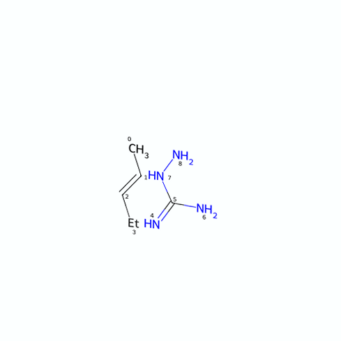 CC=CCC.N=C(N)NN